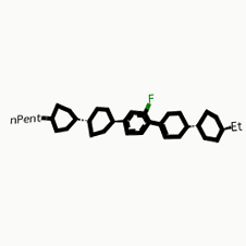 CCCCCC1CCC([C@H]2CC[C@H](c3ccc(C4=CCC([C@H]5CC[C@H](CC)CC5)CC4)c(F)c3)CC2)CC1